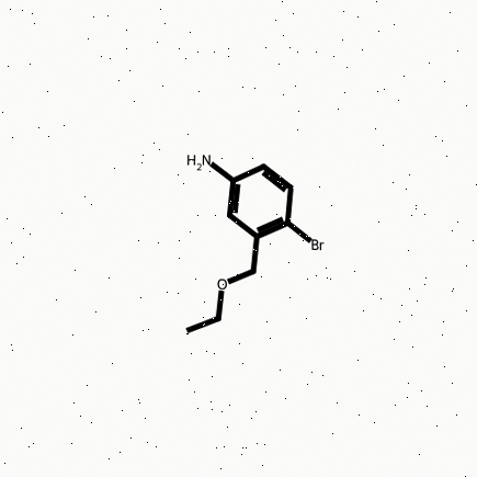 CCOCc1cc(N)ccc1Br